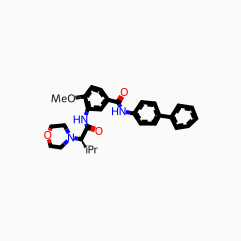 COc1ccc(C(=O)Nc2ccc(-c3ccccc3)cc2)cc1NC(=O)[C@@H](C(C)C)N1CCOCC1